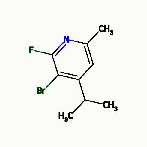 Cc1cc(C(C)C)c(Br)c(F)n1